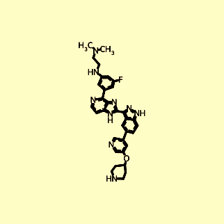 CN(C)CCNc1cc(F)cc(-c2nccc3[nH]c(-c4n[nH]c5ccc(-c6cncc(OC7CCNCC7)c6)cc45)nc23)c1